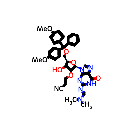 COc1ccc(C(OC[C@H]2O[C@@H](n3cnc4c(=O)[nH]c(/N=C/N(C)C)nc43)[C@@H](OCCC#N)C2O)(c2ccccc2)c2ccc(OC)cc2)cc1